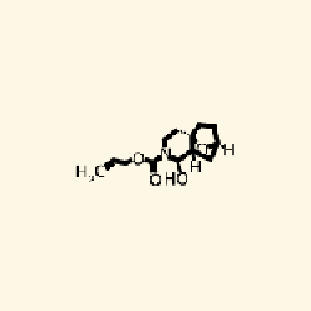 C=CCOC(=O)N1CC[C@@]23CC[C@@H](C[C@@H]2[C@H]1O)O3